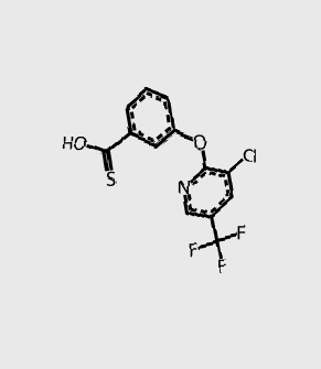 OC(=S)c1cccc(Oc2ncc(C(F)(F)F)cc2Cl)c1